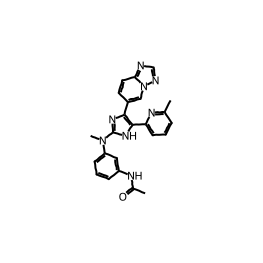 CC(=O)Nc1cccc(N(C)c2nc(-c3ccc4ncnn4c3)c(-c3cccc(C)n3)[nH]2)c1